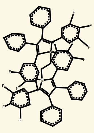 C[Si]1(CC[Si]2(C)C(c3cc(F)c(F)c(F)c3)=C(c3ccccc3)C(c3ccccc3)=C2c2cc(F)c(F)c(F)c2)C(c2cc(F)c(F)c(F)c2)=C(c2ccccc2)C(c2ccccc2)=C1c1cc(F)c(F)c(F)c1